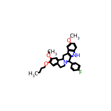 CCCCOc1cc2c(cc1OC)C1Cc3c([nH]c4ccc(OC)cc34)C(c3ccc(F)cc3)N1CC2